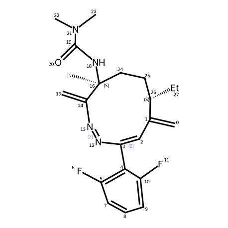 C=C1/C=C(c2c(F)cccc2F)\N=N/C(=C)[C@@](C)(NC(=O)N(C)C)CC[C@@H]1CC